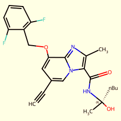 C#Cc1cc(OCc2c(F)cccc2F)c2nc(C)c(C(=O)N[C@](C)(O)CCCC)n2c1